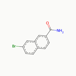 NC(=O)c1ccc2ccc(Br)cc2c1